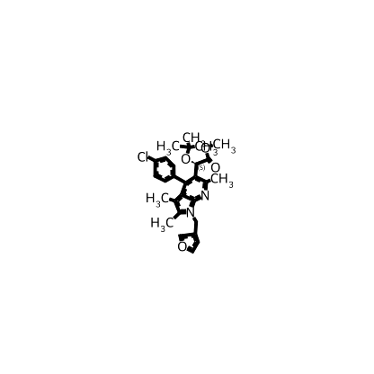 COC(=O)[C@@H](OC(C)(C)C)c1c(C)nc2c(c(C)c(C)n2Cc2ccoc2)c1-c1ccc(Cl)cc1